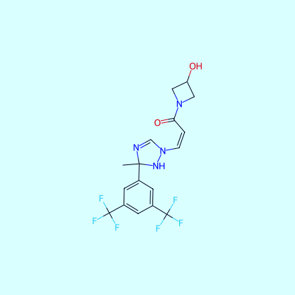 CC1(c2cc(C(F)(F)F)cc(C(F)(F)F)c2)N=CN(/C=C\C(=O)N2CC(O)C2)N1